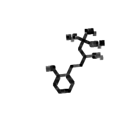 CC(CCc1ccccc1O)CC(C)(N)C(=O)O